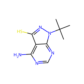 CC(C)(C)n1nc(S)c2c(N)ncnc21